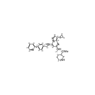 CO[C@H]1CNCC[C@@H]1CNc1cc(NCc2ccc(-c3ccccn3)cc2)n2ncc(C3CC3)c2n1